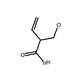 C=CC(CCl)C(=O)CCC